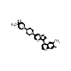 Cc1cc2c(-c3cnn4cc(N5CCC(N6CCC(C)(N)CC6)CC5)cnc34)ccnc2cc1F